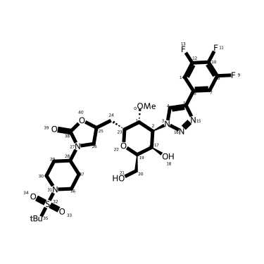 CO[C@@H]1[C@@H](n2cc(-c3cc(F)c(F)c(F)c3)nn2)[C@@H](O)[C@@H](CO)O[C@@H]1CC1CN(C2CCN(S(=O)(=O)C(C)(C)C)CC2)C(=O)O1